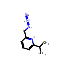 CC(C)c1cccc(CN=[N+]=[N-])n1